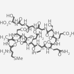 CSCC[C@H](N)C(=O)N[C@@H](C)C(=O)N[C@@H](CC(=O)O)C(=O)N[C@H](C(=O)N[C@@H](CCC(N)=O)C(=O)N[C@@H](CC(C)C)C(=O)N[C@@H](CCC(N)=O)C(=O)N[C@@H](CCC(=O)O)C(=O)N[C@@H](CO)C(=O)NCC(=O)NCC(=O)NCC(=O)N[C@@H](CO)C(=O)O)C(C)C